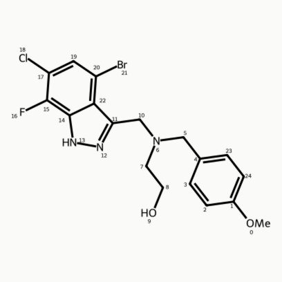 COc1ccc(CN(CCO)Cc2n[nH]c3c(F)c(Cl)cc(Br)c23)cc1